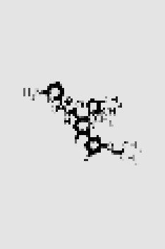 CC(C)COc1cc(F)cc(-c2nc(N3CCC(C)C3(C)C)c(C(=O)NS(=O)(=O)c3cccc(N)n3)cc2I)c1